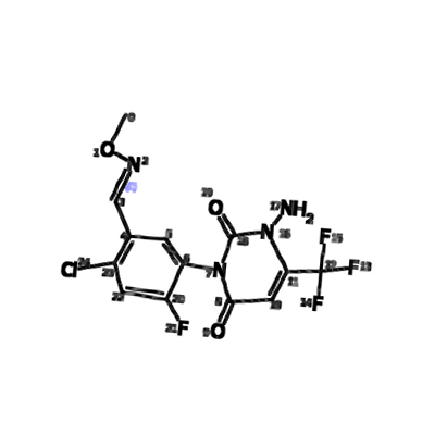 CO/N=C/c1cc(-n2c(=O)cc(C(F)(F)F)n(N)c2=O)c(F)cc1Cl